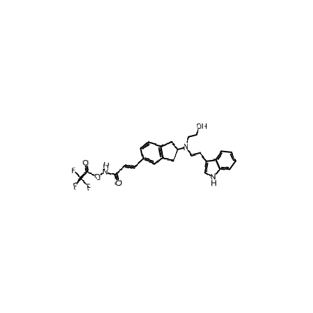 O=C(/C=C/c1ccc2c(c1)CC(N(CCO)CCc1c[nH]c3ccccc13)C2)NOC(=O)C(F)(F)F